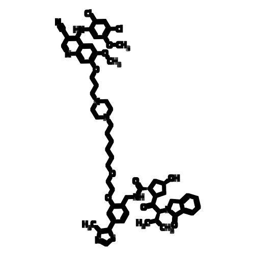 COc1cc(Nc2c(C#N)cnc3cc(OCCCN4CCN(CCCCCCOCCOc5cc(-c6scnc6C)ccc5CNC(=O)[C@@H]5C[C@@H](O)CC5C(=O)[C@H](C(C)C)N5Cc6ccccc6C5=O)CC4)c(OC)cc23)c(Cl)cc1Cl